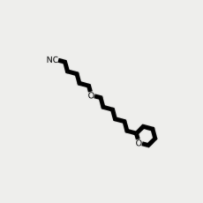 N#CCCCCCOCCCCCCC1CCCCO1